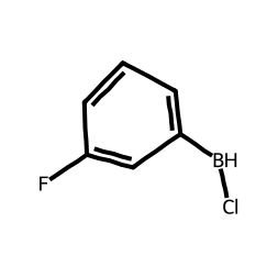 Fc1cccc(BCl)c1